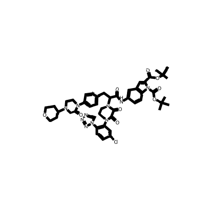 CC(C)(C)OC(=O)c1cc2cc(NC(=O)C(Cc3ccc(N4CCN(C5CCOCC5)CC4=O)cc3)N3CCN(c4cc(Cl)ccc4-n4cnnn4)C(=O)C3=O)ccc2n1C(=O)OC(C)(C)C